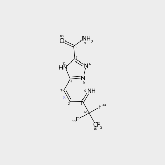 N=C(/C=C\c1nnc(C(N)=O)[nH]1)C(F)(F)C(F)(F)F